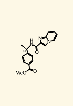 COC(=O)c1ccc([C@@H](C)NC(=O)c2cn3ccccc3n2)cc1